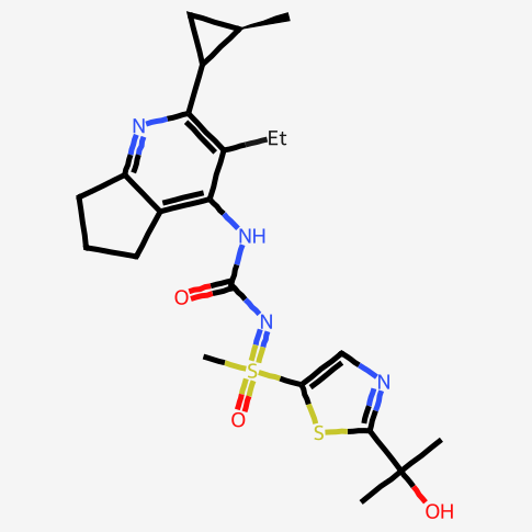 CCc1c(C2C[C@H]2C)nc2c(c1NC(=O)N=S(C)(=O)c1cnc(C(C)(C)O)s1)CCC2